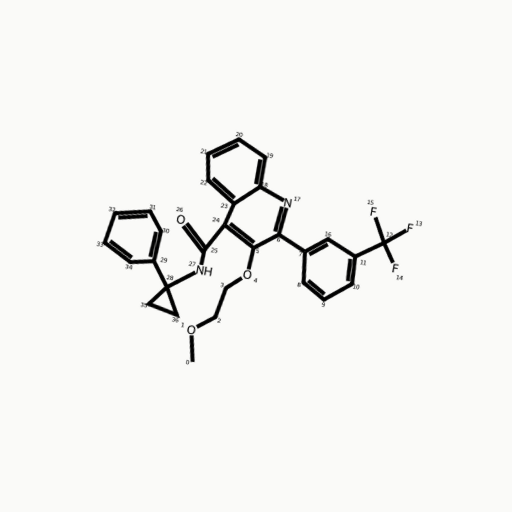 COCCOc1c(-c2cccc(C(F)(F)F)c2)nc2ccccc2c1C(=O)NC1(c2ccccc2)CC1